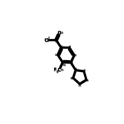 O=C(Cl)c1ccc(C2CCCC2)c(C(F)(F)F)c1